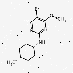 COc1nc(N[C@H]2CC[C@@H](C)CC2)ncc1Br